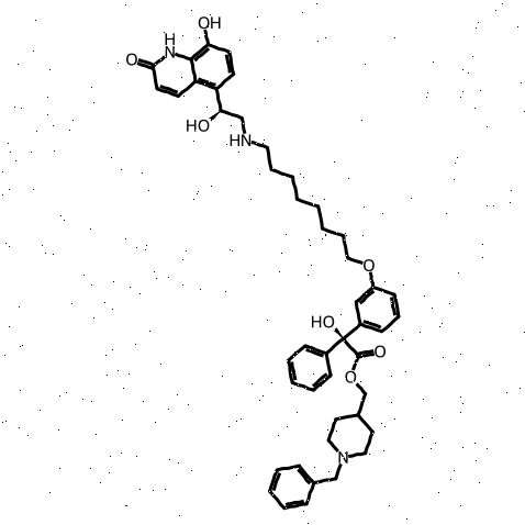 O=C(OCC1CCN(Cc2ccccc2)CC1)[C@](O)(c1ccccc1)c1cccc(OCCCCCCCCNC[C@@H](O)c2ccc(O)c3[nH]c(=O)ccc23)c1